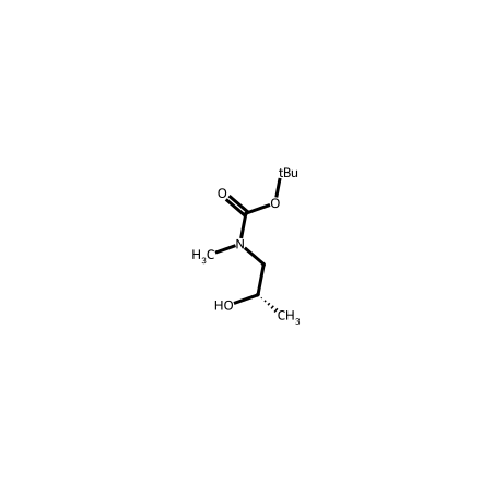 C[C@H](O)CN(C)C(=O)OC(C)(C)C